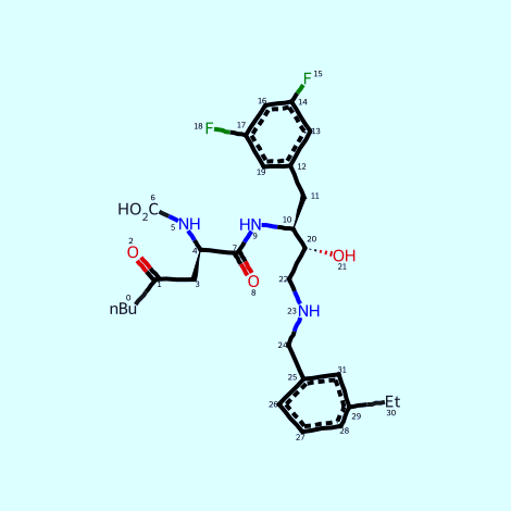 CCCCC(=O)C[C@@H](NC(=O)O)C(=O)N[C@@H](Cc1cc(F)cc(F)c1)[C@H](O)CNCc1cccc(CC)c1